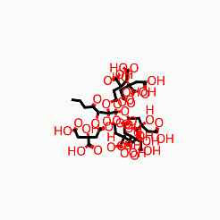 CCCC(=O)C(OC(=O)CC(O)(CC(=O)O)C(=O)O)C(OC(=O)CC(O)(CC(=O)O)C(=O)O)(OC(=O)CC(O)(CC(=O)O)C(=O)O)C(OC(=O)CC(O)(CC(=O)O)C(=O)O)(OC(=O)CC(O)(CC(=O)O)C(=O)O)OC(=O)CC(O)(CC(=O)O)C(=O)O